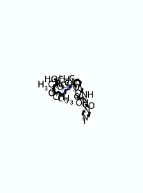 CO[C@H]([C@@H](C)[C@H]1O[C@]1(C)C[C@H](C)/C=C/C=C(\C)[C@H]1O[C@@H](CC(=O)N[C@@H](COC(=O)N2CCN(I)CC2)C(=O)O)CC[C@@H]1C)[C@@H](C)O